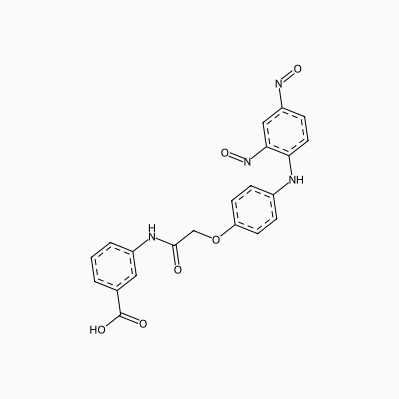 O=Nc1ccc(Nc2ccc(OCC(=O)Nc3cccc(C(=O)O)c3)cc2)c(N=O)c1